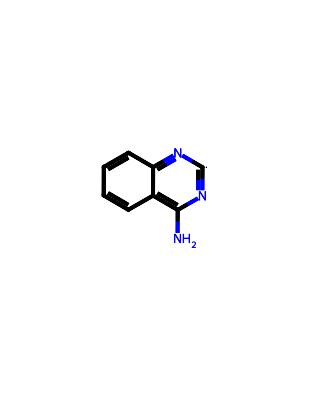 Nc1n[c]nc2ccccc12